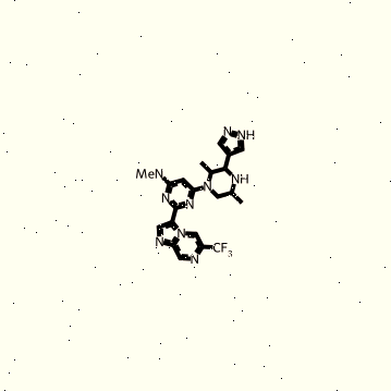 CNc1cc(N2CC(C)NC(c3cn[nH]c3)C2C)nc(-c2cnc3cnc(C(F)(F)F)cn23)n1